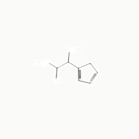 O=C(O)C(O)C(C(=O)O)C1=CC=CC1